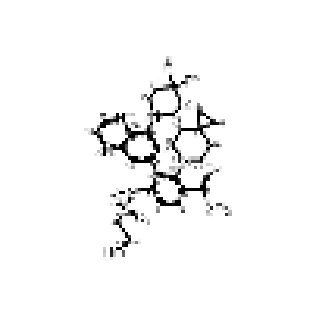 NC(=O)c1ccc(NS(=O)(=O)CCO)c(-c2cc(N3CCC(F)(F)CC3)c3nccnc3c2)c1N1CCC2(CC1)CC2